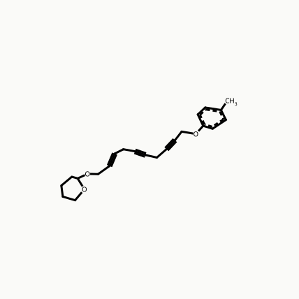 Cc1ccc(OCC#CCC#CCC#CCOC2CCCCO2)cc1